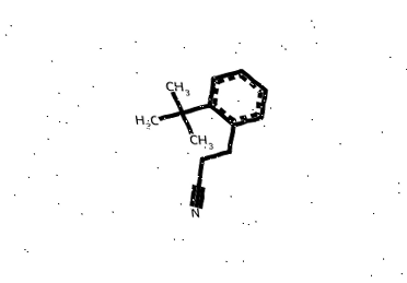 CC(C)(C)c1ccccc1CCC#N